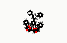 c1ccc(-c2nc(-c3cccnc3)cc(-c3cc(-n4c5ccccc5c5ccccc54)c(-n4c5ccccc5c5ccccc54)c(-n4c5ccccc5c5ccccc54)c3)n2)cc1